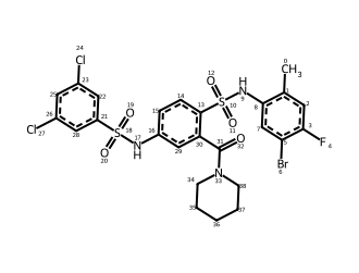 Cc1cc(F)c(Br)cc1NS(=O)(=O)c1ccc(NS(=O)(=O)c2cc(Cl)cc(Cl)c2)cc1C(=O)N1CCCCC1